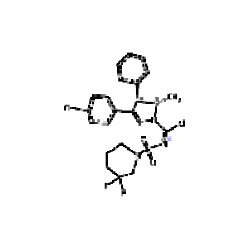 C[C@H]1[C@H](c2ccccc2)C(c2ccc(Cl)cc2)=NN1/C(Cl)=N\S(=O)(=O)N1CCCC(F)(F)C1